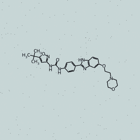 CC(C)(C)c1cc(NC(=O)Nc2ccc(-c3nc4cc(OCCN5CCOCC5)ccc4[nH]3)cc2)no1